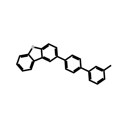 Cc1cccc(-c2ccc(-c3ccc4oc5ccccc5c4c3)cc2)c1